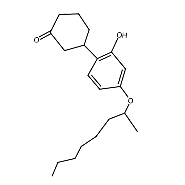 CCCCCCC(C)Oc1ccc(C2CCCC(=O)C2)c(O)c1